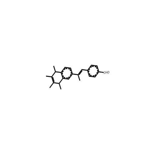 CC1=C(C)C(C)c2cc(/C(C)=C/c3ccc(C=O)cc3)ccc2C1C